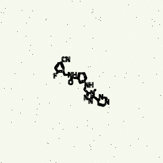 Cn1c(CNc2cccc(C(=O)NCc3cc(C#N)ccc3F)c2)nnc1-c1ccncn1